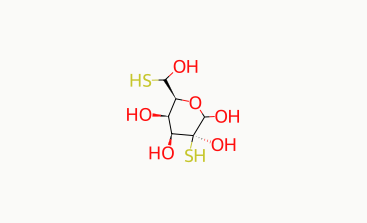 OC(S)[C@H]1OC(O)[C@@](O)(S)[C@@H](O)[C@H]1O